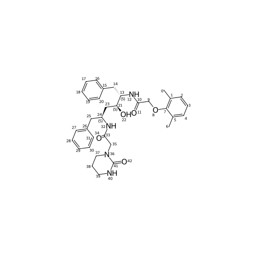 Cc1cccc(C)c1OCC(=O)N[C@@H](Cc1ccccc1)[C@@H](O)C[C@H](Cc1ccccc1)NC(=O)CN1CCCNC1=O